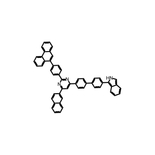 c1ccc2cc(-c3cc(-c4ccc(-c5ccc(-c6[nH]cc7ccccc67)cc5)cc4)nc(-c4ccc(-c5cc6ccccc6c6ccccc56)cc4)n3)ccc2c1